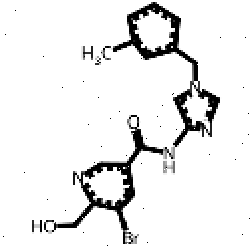 Cc1cccc(Cn2cnc(NC(=O)c3cnc(CO)c(Br)c3)c2)c1